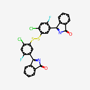 O=C1N=C(c2cc(SSc3cc(C4=NC(=O)c5ccccc54)c(F)cc3Cl)c(Cl)cc2F)c2ccccc21